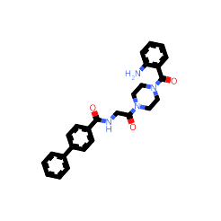 Nc1ccccc1C(=O)N1CCN(C(=O)CNC(=O)c2ccc(-c3ccccc3)cc2)CC1